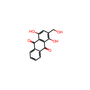 O=C1c2ccccc2C(=O)c2c(O)c(CO)cc(O)c21